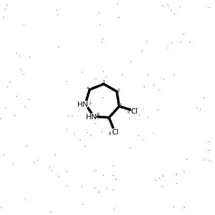 ClC1CCCNNC1Cl